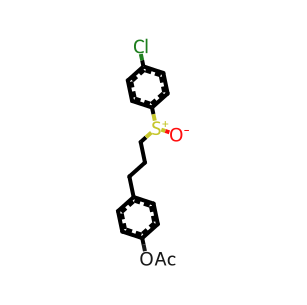 CC(=O)Oc1ccc(CCC[S+]([O-])c2ccc(Cl)cc2)cc1